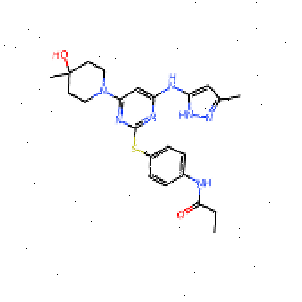 CCC(=O)Nc1ccc(Sc2nc(Nc3cc(C)n[nH]3)cc(N3CCC(C)(O)CC3)n2)cc1